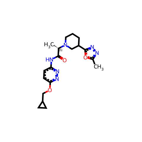 Cc1nnc(C2CCCN([C@@H](C)C(=O)Nc3ccc(OCC4CC4)nn3)C2)o1